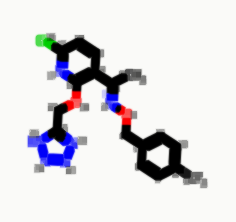 C/C(=N\OCc1ccc(C(F)(F)F)cc1)c1ccc(Cl)nc1OCc1nnn[nH]1